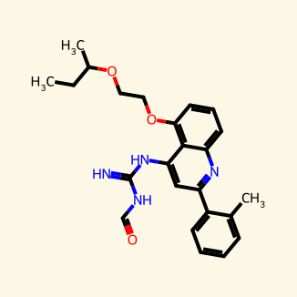 CCC(C)OCCOc1cccc2nc(-c3ccccc3C)cc(NC(=N)NC=O)c12